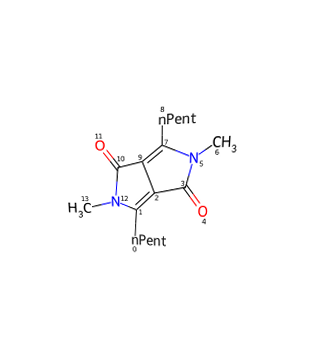 CCCCCC1=C2C(=O)N(C)C(CCCCC)=C2C(=O)N1C